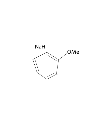 COc1[c]cccc1.[NaH]